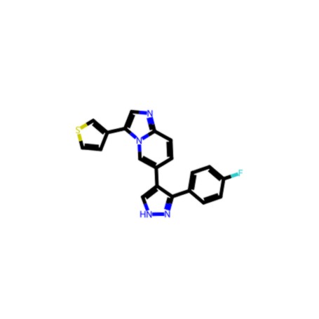 Fc1ccc(-c2n[nH]cc2-c2ccc3ncc(-c4ccsc4)n3c2)cc1